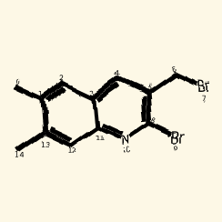 Cc1cc2cc(CBr)c(Br)nc2cc1C